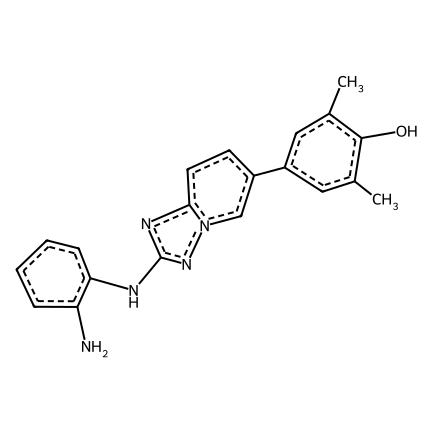 Cc1cc(-c2ccc3nc(Nc4ccccc4N)nn3c2)cc(C)c1O